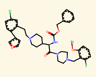 CCOc1cccc(F)c1CN1CCN(C(=O)[C@H](NC(=O)OCc2ccccc2)C2CCN(CCc3cc(Cl)ccc3-c3ccoc3)CC2)CC1